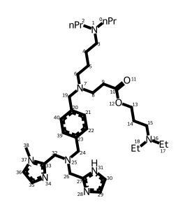 CCCN(CCC)CCCCN(CCC(=O)OCCCN(CC)CC)Cc1ccc(CN(Cc2ncc[nH]2)Cc2nccn2C)cc1